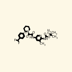 Cc1cc(NC(=O)C(=O)N2CCCC[C@H]2c2ccc(C(F)F)cc2)cnc1NC(=O)OC(C)(C)C